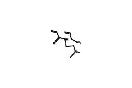 C=CC(=O)NCCN(C)C.C=CCN